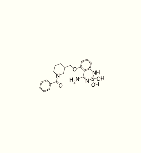 NC1=NS(O)(O)Nc2cccc(OCC3CCCN(C(=O)c4ccccc4)C3)c21